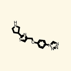 c1cc(-n2cnnn2)ccc1OCc1csc(C2CCNC2)n1